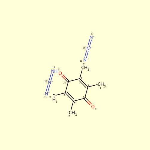 CC1=C(C)C(=O)C(C)=C(C)C1=O.[N-]=[N+]=N.[N-]=[N+]=[N-]